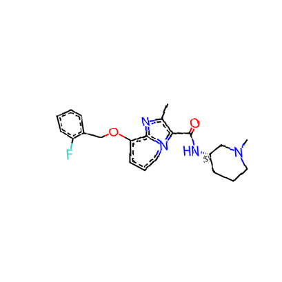 Cc1nc2c(OCc3ccccc3F)cccn2c1C(=O)N[C@H]1CCCN(C)C1